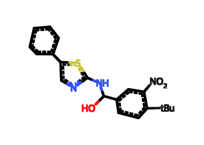 CC(C)(C)c1ccc(C(O)Nc2ncc(-c3ccccc3)s2)cc1[N+](=O)[O-]